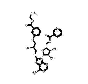 CCOC(=O)c1cccc(OCC(O)CSc2nc3c(N)ncnc3n2[C@@H]2O[C@H](COC(=O)c3cccnc3)[C@@H](O)[C@H]2O)c1